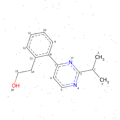 CC(C)c1nccc(-c2ccccc2CCO)n1